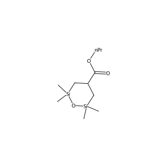 CCCOC(=O)C1C[Si](C)(C)O[Si](C)(C)C1